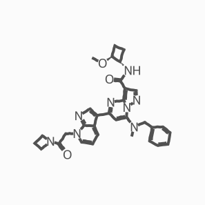 CO[C@H]1CC[C@@H]1NC(=O)c1cnn2c(N(C)Cc3ccccc3)cc(-c3cnc4n(CC(=O)N5CCC5)cccc3-4)nc12